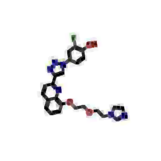 Oc1ccc(-n2cc(-c3ccc4cccc(OCCOCCn5ccnc5)c4n3)nn2)cc1F